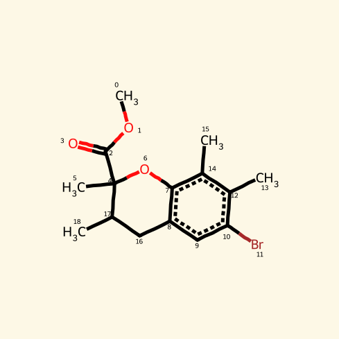 COC(=O)C1(C)Oc2c(cc(Br)c(C)c2C)CC1C